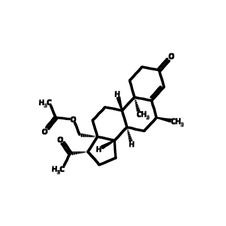 CC(=O)OC[C@]12CC[C@H]3[C@@H](C[C@H](C)C4=CC(=O)CC[C@@]43C)[C@@H]1CC[C@@H]2C(C)=O